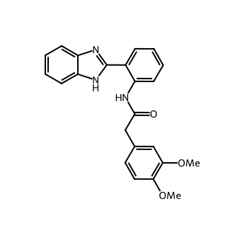 COc1ccc(CC(=O)Nc2ccccc2-c2nc3ccccc3[nH]2)cc1OC